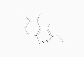 COc1ccc2c(c1F)C(C)C(O)CC2